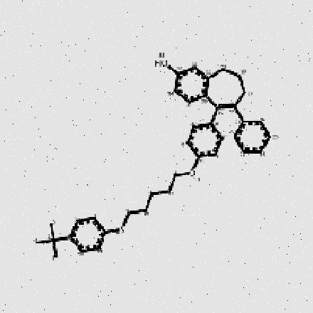 CC(C)(C)c1ccc(SCCCCCOc2ccc(C3=C(c4ccccc4)CCCc4cc(O)ccc43)cc2)cc1